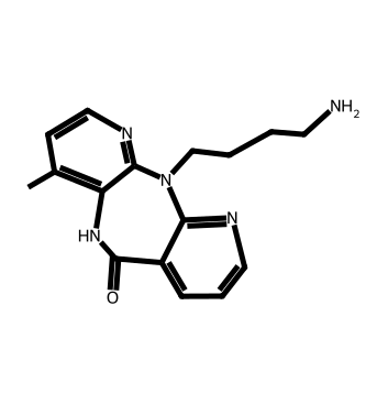 Cc1ccnc2c1NC(=O)c1cccnc1N2CCCCN